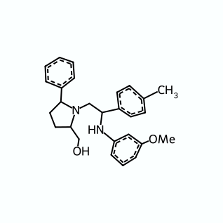 COc1cccc(NC(CN2C(CO)CCC2c2ccccc2)c2ccc(C)cc2)c1